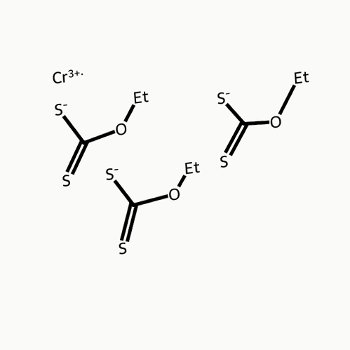 CCOC(=S)[S-].CCOC(=S)[S-].CCOC(=S)[S-].[Cr+3]